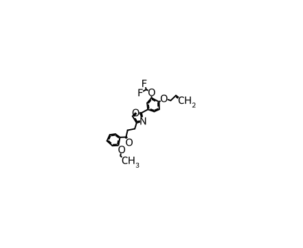 C=CCOc1ccc(-c2nc(CCC(=O)c3ccccc3OCC)co2)cc1OC(F)F